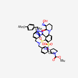 COc1ccc(CN(Cc2ccc(OC)cc2)S(=O)(=O)c2c(S(=O)(=O)N[C@@H]3CCN(C(=O)OC(C)(C)C)C3)ccc(N3CCCC(=NO)C3=O)c2-c2nnn(Cc3ccc(OC)cc3)n2)cc1